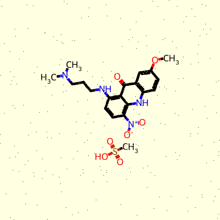 COc1ccc2[nH]c3c([N+](=O)[O-])ccc(NCCCN(C)C)c3c(=O)c2c1.CS(=O)(=O)O